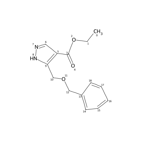 CCOC(=O)c1cn[nH]c1COCc1ccccc1